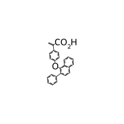 C=C(C(=O)O)c1ccc(Oc2c(-c3ccccc3)ccc3ccccc23)cc1